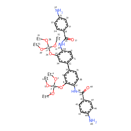 CCO[Si](OCC)(OCC)Oc1cc(-c2ccc(NC(=O)c3ccc(N)cc3)c(O[Si](OCC)(OCC)OCC)c2)ccc1NC(=O)c1ccc(N)cc1